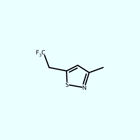 Cc1cc(CC(F)(F)F)sn1